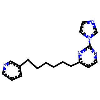 c1cncc(CCCCCCc2ccnc(-n3ccnc3)n2)c1